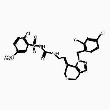 COc1ccc(Cl)c(S(=O)(=O)NC(=O)NC/C=C2\COCc3cnn(Cc4ccc(Cl)cc4Cl)c32)c1